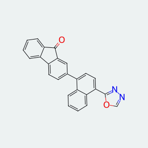 O=C1c2ccccc2-c2ccc(-c3ccc(-c4nnco4)c4ccccc34)cc21